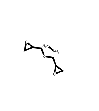 C(OCC1CO1)C1CO1.NN